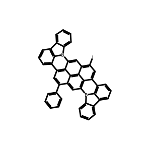 Ic1cc2c3c(cc4c(-c5ccccc5)cc5c6c(cc1c3c46)B1c3ccccc3-c3cccc-5c31)B1c3ccccc3-c3cccc-2c31